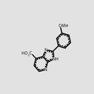 COc1cccc(-c2nc3c(C(=O)O)ccnc3[nH]2)c1